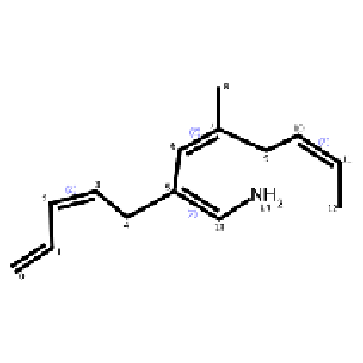 C=C/C=C\CC(/C=C(/C)C/C=C\C)=C/N